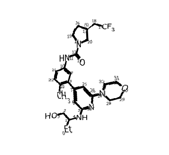 CCC(CO)Nc1cc(-c2cc(NC(=O)N3CC[C@@H](CC(F)(F)F)C3)ccc2C)cc(N2CCOCC2)n1